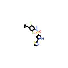 O=S(=O)(Nc1cc(F)c(C2CC2)cc1F)c1c[nH]c(-c2nccs2)c1